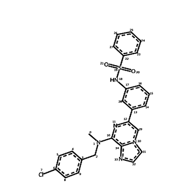 CN(Cc1ccc(Cl)cc1)c1nc(-c2cccc(NS(=O)(=O)c3ccccc3)c2)cn2ccnc12